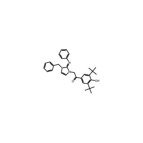 CC(C)(C)c1cc(C(=O)Cn2ccn(Cc3ccccc3)/c2=N\c2ccccc2)cc(C(C)(C)C)c1O